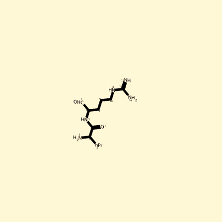 CCCC(N)C(=O)NC(C=O)CCCNC(=N)N